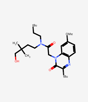 COc1ccc2nc(C(C)(C)C)c(=O)n(CC(=O)N(CCC(C)(C)C)CCC(C)(C)CO)c2c1